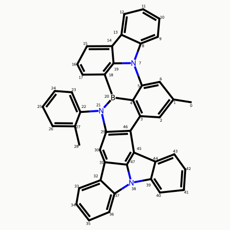 Cc1cc2c3c(c1)-n1c4ccccc4c4cccc(c41)B3N(c1ccccc1C)c1cc3c4ccccc4n4c5ccccc5c(c1-2)c34